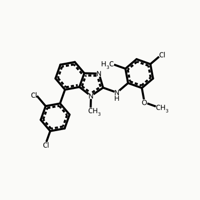 COc1cc(Cl)cc(C)c1Nc1nc2cccc(-c3ccc(Cl)cc3Cl)c2n1C